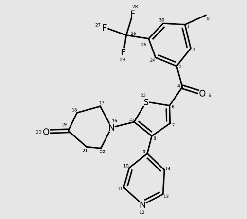 Cc1cc(C(=O)c2cc(-c3ccncc3)c(N3CCC(=O)CC3)s2)cc(C(F)(F)F)c1